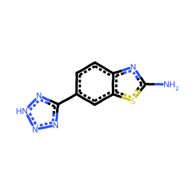 Nc1nc2ccc(-c3nn[nH]n3)cc2s1